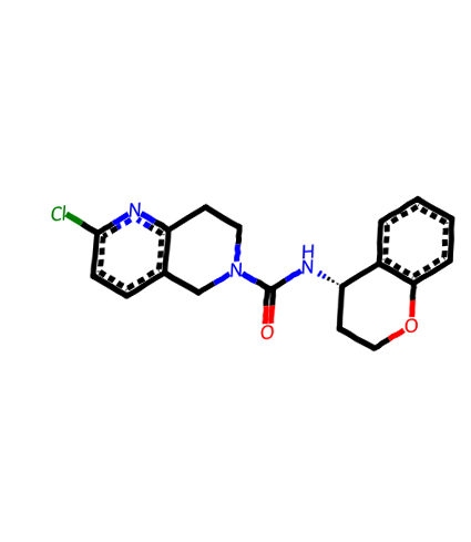 O=C(N[C@H]1CCOc2ccccc21)N1CCc2nc(Cl)ccc2C1